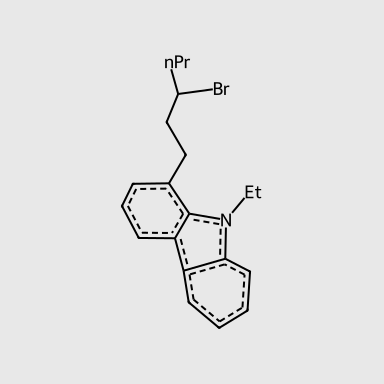 CCCC(Br)CCc1cccc2c3ccccc3n(CC)c12